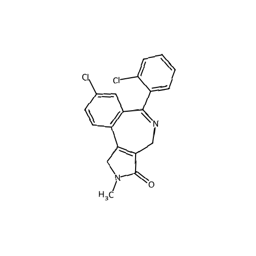 CN1CC2=C(CN=C(c3ccccc3Cl)c3cc(Cl)ccc32)C1=O